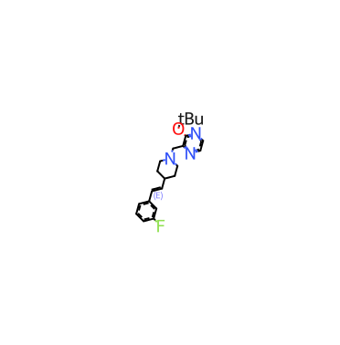 CC(C)(C)Oc1nccnc1CN1CCC(/C=C/c2cccc(F)c2)CC1